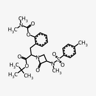 Cc1ccc(S(=O)(=O)N(C)C2CN(C(Cc3ccccc3OC(=O)N(C)C)C(=O)OC(C)(C)C)C2=O)cc1